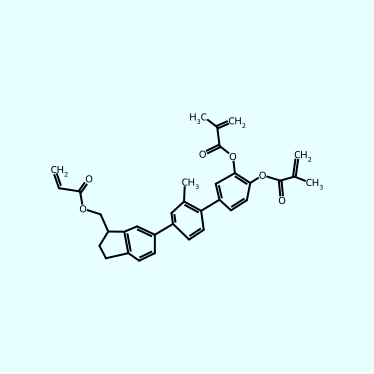 C=CC(=O)OCC1CCc2ccc(-c3ccc(-c4ccc(OC(=O)C(=C)C)c(OC(=O)C(=C)C)c4)c(C)c3)cc21